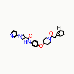 O=C(Nc1ccc(OC2CCN(C(=O)CC3C[C@@H]4CCC3C4)CC2)cc1)C1CN(c2cccnc2)C1